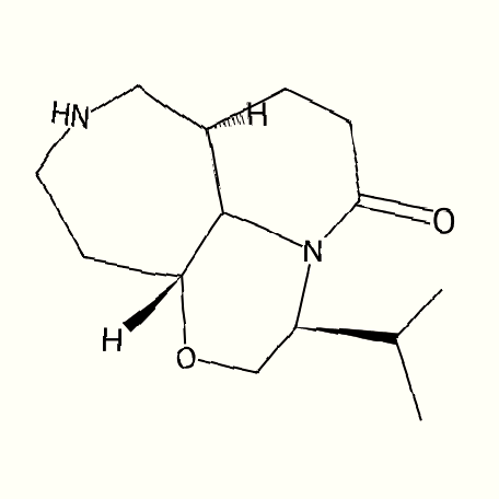 CC(C)[C@H]1CO[C@@H]2CCNC[C@H]3CCC(=O)N1C32